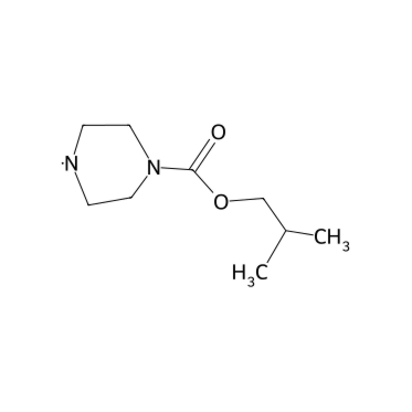 CC(C)COC(=O)N1CC[N]CC1